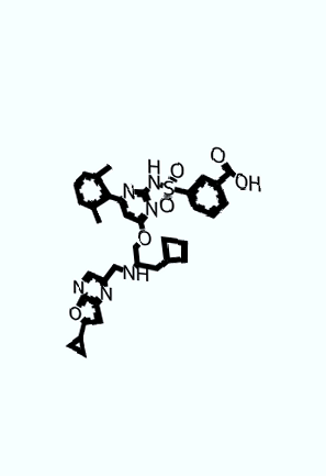 Cc1cccc(C)c1-c1cc(OCC(CC2CCC2)NCc2cnc3oc(C4CC4)cc3n2)nc(NS(=O)(=O)c2cccc(C(=O)O)c2)n1